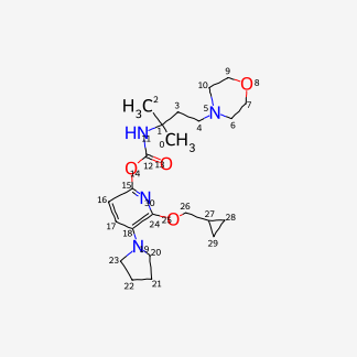 CC(C)(CCN1CCOCC1)NC(=O)Oc1ccc(N2CCCC2)c(OCC2CC2)n1